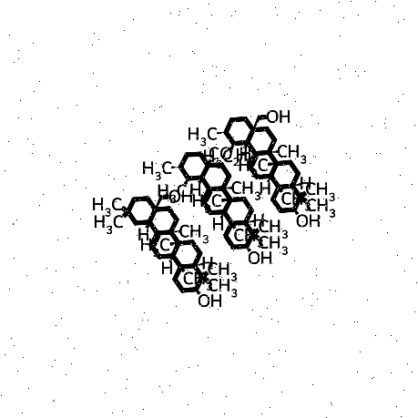 CC1(C)CC[C@]2(CO)CC[C@]3(C)C(=CC[C@@H]4[C@@]5(C)CC[C@H](O)C(C)(C)[C@@H]5CC[C@]43C)[C@@H]2C1.C[C@H]1[C@H](C)CC[C@]2(C(=O)O)CC[C@]3(C)C(=CC[C@@H]4[C@@]5(C)CC[C@H](O)C(C)(C)[C@@H]5CC[C@]43C)[C@H]12.C[C@H]1[C@H](C)CC[C@]2(CO)CC[C@]3(C)C(=CC[C@@H]4[C@@]5(C)CC[C@H](O)C(C)(C)[C@@H]5CC[C@]43C)[C@H]12